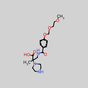 COCCOCOc1ccc(C(=O)NC[C@@](C)(C(=O)O)N2CCNCC2)cc1